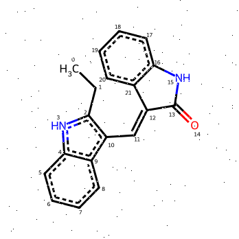 CCc1[nH]c2ccccc2c1C=C1C(=O)Nc2ccccc21